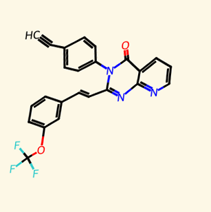 C#Cc1ccc(-n2c(/C=C/c3cccc(OC(F)(F)F)c3)nc3ncccc3c2=O)cc1